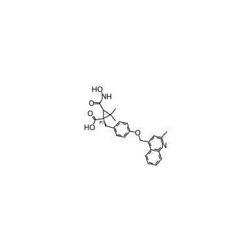 Cc1cc(COc2ccc(C[C@@]3(C(=O)O)C(C(=O)NO)C3(C)C)cc2)c2ccccc2n1